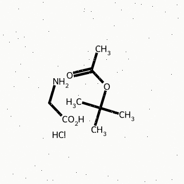 CC(=O)OC(C)(C)C.Cl.NCC(=O)O